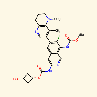 Cc1c(-c2cc3cc(NC(=O)O[C@H]4C[C@@H](O)C4)ncc3c(NC(=O)OC(C)(C)C)c2F)cnc2c1N(C(=O)O)CCC2